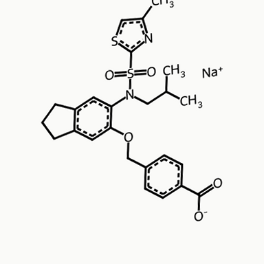 Cc1csc(S(=O)(=O)N(CC(C)C)c2cc3c(cc2OCc2ccc(C(=O)[O-])cc2)CCC3)n1.[Na+]